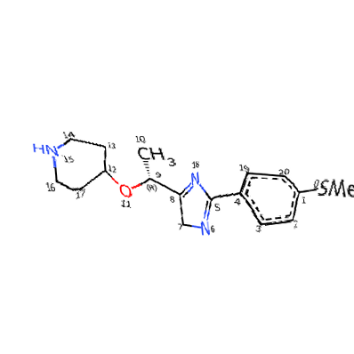 CSc1ccc(C2=NCC([C@@H](C)OC3CCNCC3)=N2)cc1